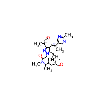 C=Cc1c(/C=C(\C)c2cnc(C)nc2)c(C(C)=C=O)nn1CC(=O)N(C)C(C)C(C)CCC=O